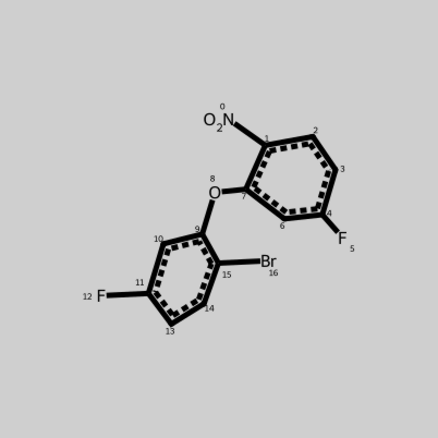 O=[N+]([O-])c1ccc(F)cc1Oc1cc(F)ccc1Br